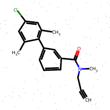 C#CCN(C)C(=O)c1cccc(-c2c(C)cc(Cl)cc2C)c1